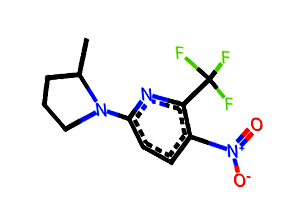 CC1CCCN1c1ccc([N+](=O)[O-])c(C(F)(F)F)n1